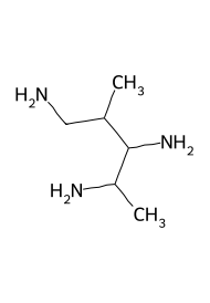 CC(N)C(N)C(C)CN